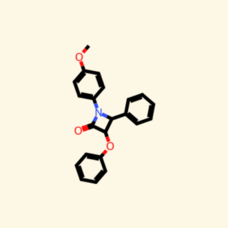 COc1ccc(N2C(=O)C(Oc3ccccc3)C2c2ccccc2)cc1